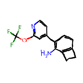 Nc1c(-c2ccnc(OC(F)(F)F)c2)ccc2c1CC2